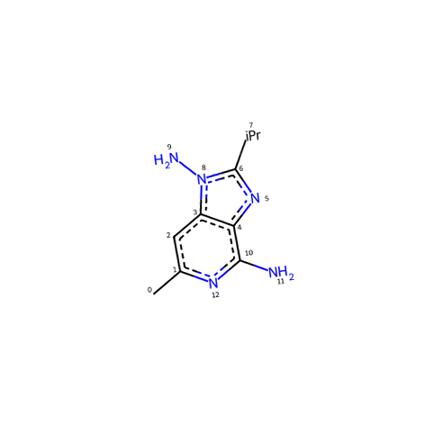 Cc1cc2c(nc(C(C)C)n2N)c(N)n1